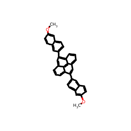 COc1ccc2cc(-c3cc4cccc5c(-c6ccc7cc(OC)ccc7c6)cc6cccc3c6c45)ccc2c1